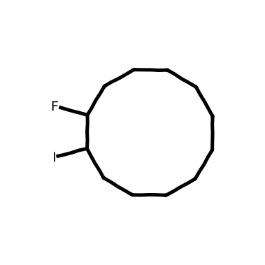 FC1CCCCCCCCCCC1I